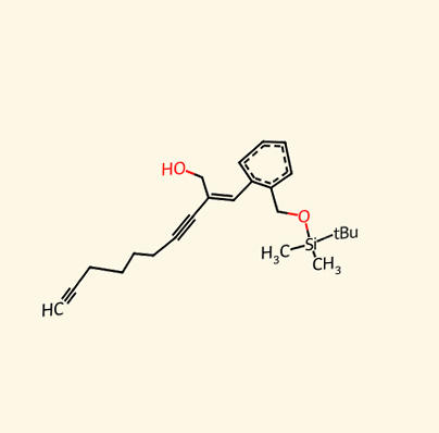 C#CCCCCC#CC(=Cc1ccccc1CO[Si](C)(C)C(C)(C)C)CO